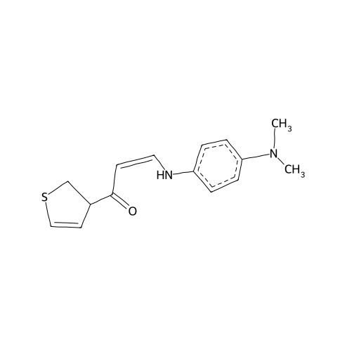 CN(C)c1ccc(N/C=C\C(=O)C2C=CSC2)cc1